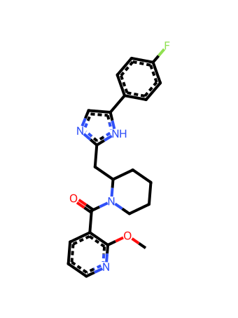 COc1ncccc1C(=O)N1CCCCC1Cc1ncc(-c2ccc(F)cc2)[nH]1